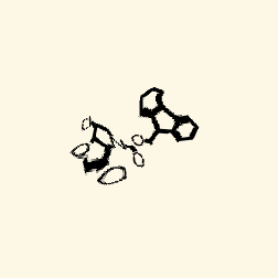 O=C1COC2C(Cl)CN(C(=O)OCC3c4ccccc4-c4ccccc43)C12